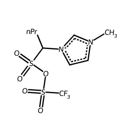 CCCC([n+]1ccn(C)c1)S(=O)(=O)OS(=O)(=O)C(F)(F)F